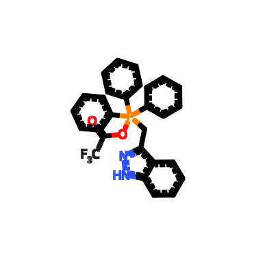 O=C(OP(Cc1n[nH]c2ccccc12)(c1ccccc1)(c1ccccc1)c1ccccc1)C(F)(F)F